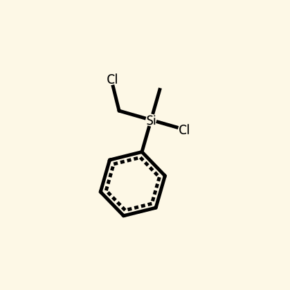 C[Si](Cl)(CCl)c1ccccc1